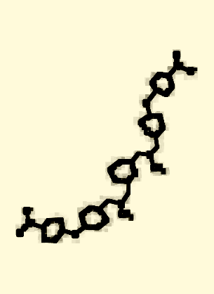 CN(Cc1ccc(Oc2ccc([N+](=O)[O-])cc2)cc1)Cc1cccc(CN(C)Cc2ccc(Oc3ccc([N+](=O)[O-])cc3)cc2)n1